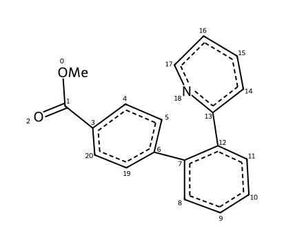 COC(=O)c1ccc(-c2ccccc2-c2ccccn2)cc1